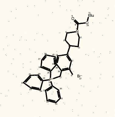 Cc1cc(C2CCN(C(=O)OC(C)(C)C)CC2)ccc1C[P+](c1ccccc1)(c1ccccc1)c1ccccc1.[Br-]